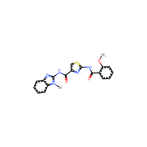 CCn1c(NC(=O)c2csc(NC(=O)c3ccccc3OC(F)(F)F)n2)nc2ccccc21